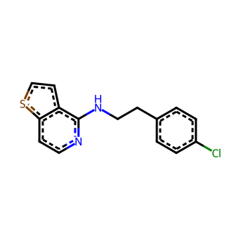 Clc1ccc(CCNc2nccc3sccc23)cc1